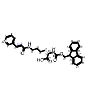 O=C(/C=C/c1cccnc1)NCCCC[C@H](NC(=O)OCC1c2ccccc2-c2ccccc21)C(=O)O